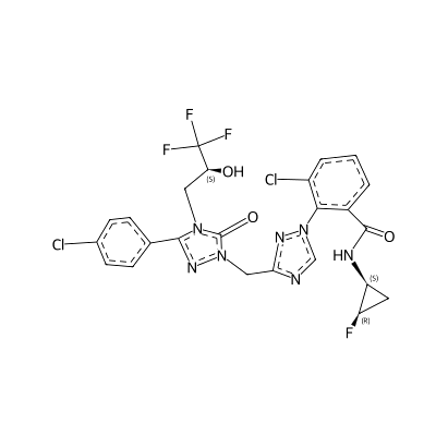 O=C(N[C@H]1C[C@H]1F)c1cccc(Cl)c1-n1cnc(Cn2nc(-c3ccc(Cl)cc3)n(C[C@H](O)C(F)(F)F)c2=O)n1